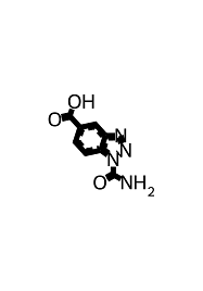 NC(=O)n1nnc2cc(C(=O)O)ccc21